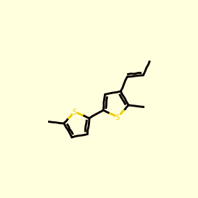 C/C=C/c1cc(-c2ccc(C)s2)sc1C